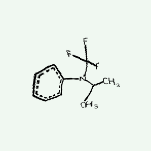 CC(C)N(c1ccccc1)C(F)(F)F